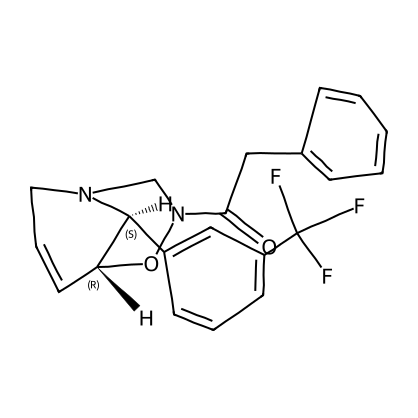 O=C(Cc1ccccc1)N1CN2CC=C[C@@H](O1)[C@@H]2c1cccc(C(F)(F)F)c1